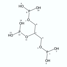 OP(O)OCC(COP(O)O)OP(O)O